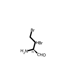 Br.N[C@H](C=O)CCBr